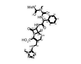 CNC(=O)N(C)C(=O)N[C@H](C(=O)NC1C(=O)N2C(C(=O)O)=C(CSc3nnnn3C)CS[C@@H]12)c1ccccc1